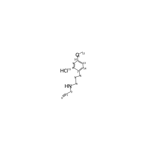 C#CCNCCCc1ccc(OC)cc1.Cl